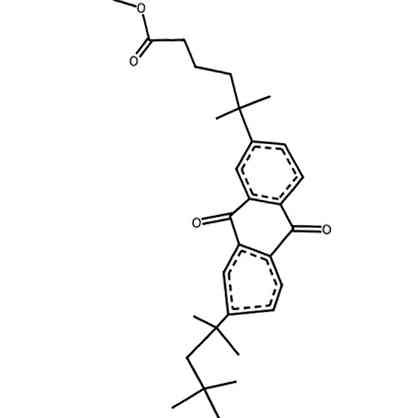 COC(=O)CCCC(C)(C)c1ccc2c(c1)C(=O)c1cc(C(C)(C)CC(C)(C)C)ccc1C2=O